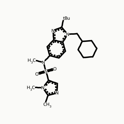 Cc1ncc(S(=O)(=O)N(C)c2ccc3c(c2)nc(C(C)(C)C)n3CC2CCCCC2)n1C